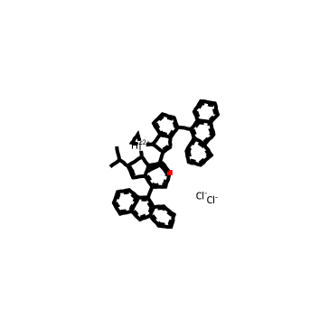 CC(C)C1=Cc2c(-c3c4ccccc4cc4ccccc34)cccc2[CH]1[Hf+2]1([CH]2C(C(C)C)=Cc3c(-c4c5ccccc5cc5ccccc45)cccc32)[CH2][CH2]1.[Cl-].[Cl-]